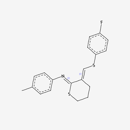 Cc1ccc(/N=C2\SCCC\C2=C/Sc2ccc(F)cc2)cc1